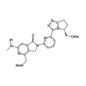 CNCc1nc(N(C)C(C)C)cc2c1CN(c1cccc(-c3nnc4n3[C@H](COC)CC4)n1)C2=O